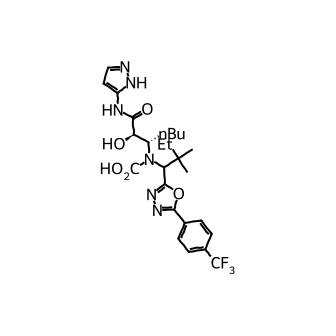 CCCC[C@@H]([C@@H](O)C(=O)Nc1ccn[nH]1)N(C(=O)O)C(c1nnc(-c2ccc(C(F)(F)F)cc2)o1)C(C)(C)CC